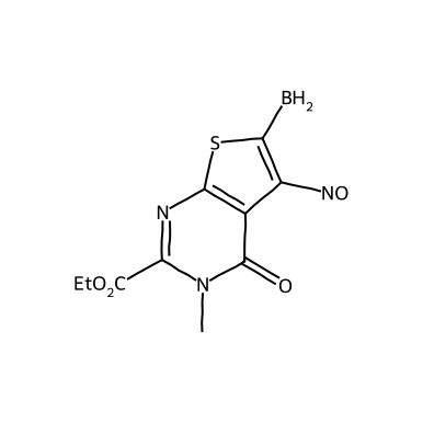 Bc1sc2nc(C(=O)OCC)n(C)c(=O)c2c1N=O